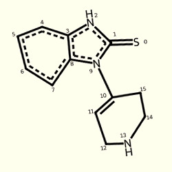 S=c1[nH]c2ccccc2n1C1=CCNCC1